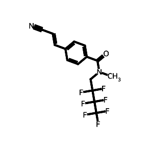 CN(CC(F)(F)C(F)(F)C(F)(F)F)C(=O)c1ccc(C=CC#N)cc1